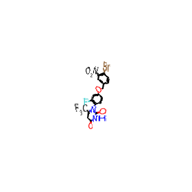 O=c1cc(C(F)(F)F)n(-c2ccc(OCc3ccc(Br)c([N+](=O)[O-])c3)cc2F)c(=O)[nH]1